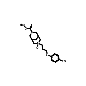 CC(C)(C)OC(=O)N1CC2CC(C1)C[N+]([O-])(CCCOc1ccc(C#N)cc1)C2